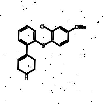 COc1ccc(Sc2ccccc2C2=CCNCC2)c(Cl)c1